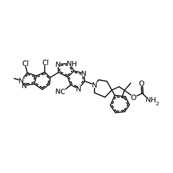 Cn1nc2ccc(-c3n[nH]c4nc(N5CCC(CC(C)(C)OC(N)=O)(c6ccccc6)CC5)nc(C#N)c34)c(Cl)c2c1Cl